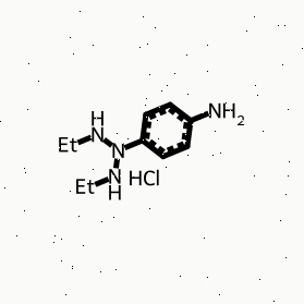 CCNN(NCC)c1ccc(N)cc1.Cl